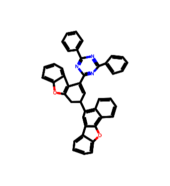 C1=C(c2nc(-c3ccccc3)nc(-c3ccccc3)n2)c2c(oc3ccccc23)CC1c1cc2c3ccccc3oc2c2ccccc12